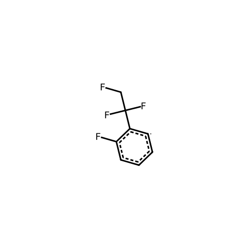 FCC(F)(F)c1[c]cccc1F